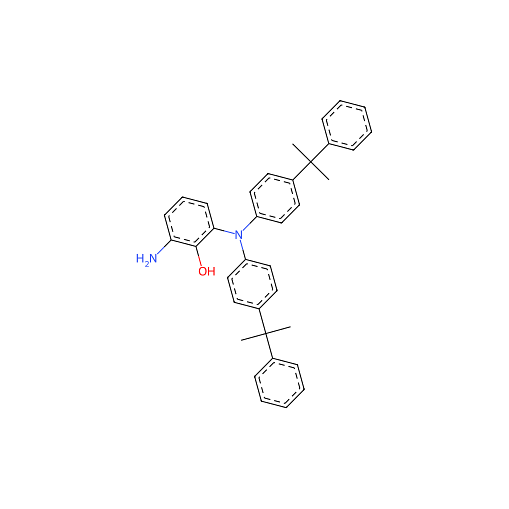 CC(C)(c1ccccc1)c1ccc(N(c2ccc(C(C)(C)c3ccccc3)cc2)c2cccc(N)c2O)cc1